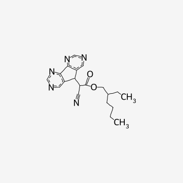 CCCCC(CC)COC(=O)C(C#N)C1c2cncnc2-c2ncncc21